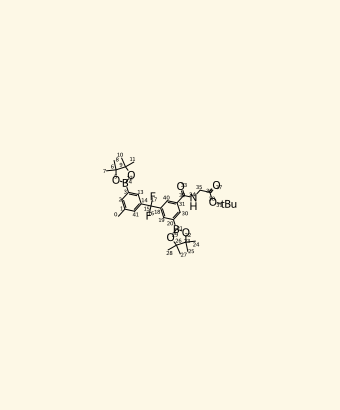 Cc1cc(B2OC(C)(C)C(C)(C)O2)cc(C(F)(F)c2cc(B3OC(C)(C)C(C)(C)O3)cc(C(=O)NCC(=O)OC(C)(C)C)c2)c1